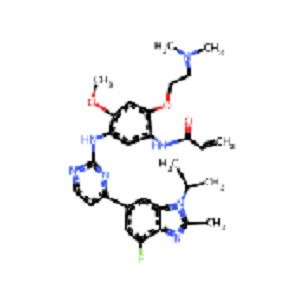 C=CC(=O)Nc1cc(Nc2nccc(-c3cc(F)c4nc(C)n(C(C)C)c4c3)n2)c(OC)cc1OCCN(C)C